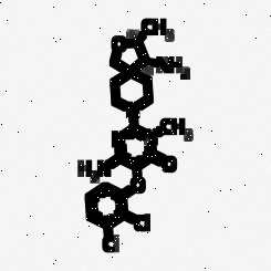 C[C@@H]1OCC2(CCN(c3nc(N)c(Oc4cccc(Cl)c4Cl)c(=O)n3C)CC2)[C@@H]1N